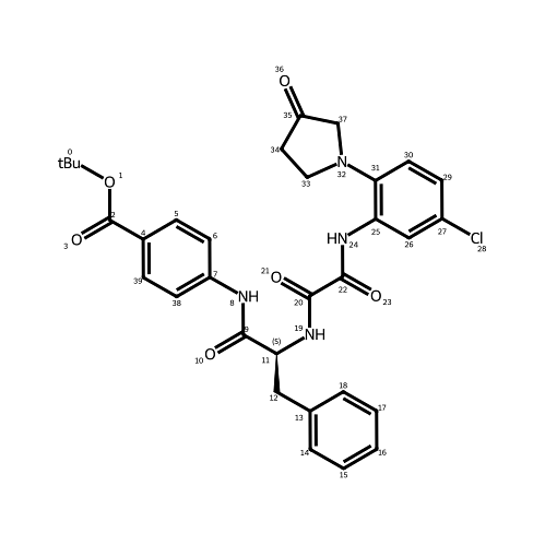 CC(C)(C)OC(=O)c1ccc(NC(=O)[C@H](Cc2ccccc2)NC(=O)C(=O)Nc2cc(Cl)ccc2N2CCC(=O)C2)cc1